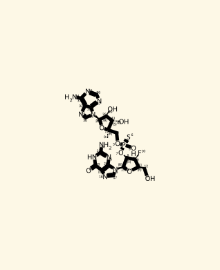 C[C@]1(COP(O)(=S)O[C@@H]2[C@H](F)[C@@H](CO)O[C@H]2n2cnc3c(=O)[nH]c(N)nc32)O[C@@H](n2cnc3c(N)ncnc32)[C@H](O)[C@@H]1O